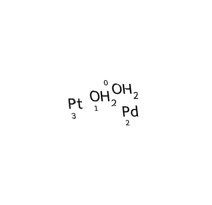 O.O.[Pd].[Pt]